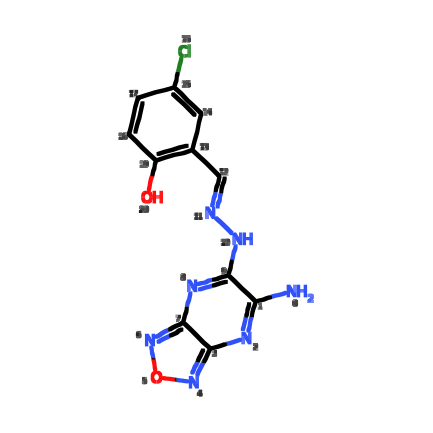 Nc1nc2nonc2nc1NN=Cc1cc(Cl)ccc1O